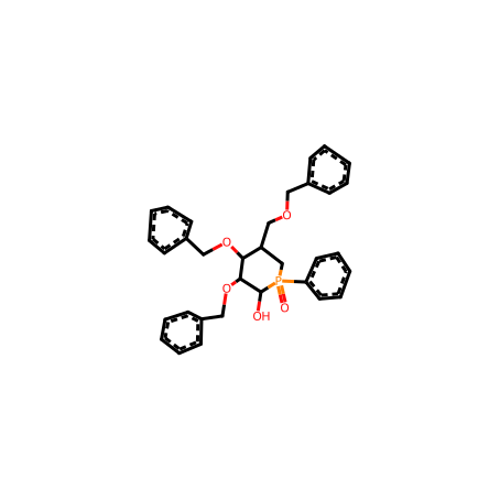 O=P1(c2ccccc2)CC(COCc2ccccc2)C(OCc2ccccc2)C(OCc2ccccc2)C1O